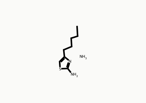 CCCCCc1csc(N)n1.N